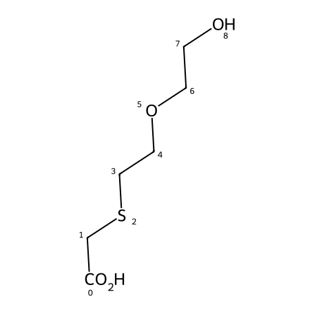 O=C(O)CSCCOCCO